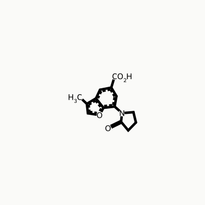 Cc1coc2c(N3CCCC3=O)cc(C(=O)O)cc12